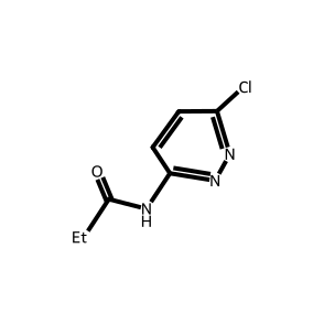 CCC(=O)Nc1ccc(Cl)nn1